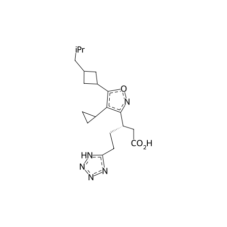 CC(C)CC1CC(c2onc([C@@H](CCc3nnn[nH]3)CC(=O)O)c2C2CC2)C1